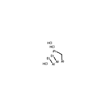 CC(C)[CH2][Al].C[CH2][Al].C[CH2][Al].Cl.Cl.Cl